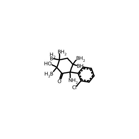 BC1(B)CC(B)(B)C(N)(c2ccccc2Cl)C(=O)C1(B)O